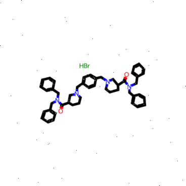 Br.O=C(C1CCCN(Cc2ccc(CN3CCCC(C(=O)N(Cc4ccccc4)Cc4ccccc4)C3)cc2)C1)N(Cc1ccccc1)Cc1ccccc1